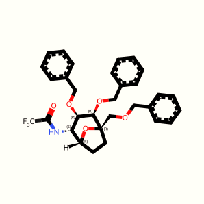 O=C(N[C@@H]1[C@@H](OCc2ccccc2)[C@@H](OCc2ccccc2)[C@]2(COCc3ccccc3)CC[C@H]1O2)C(F)(F)F